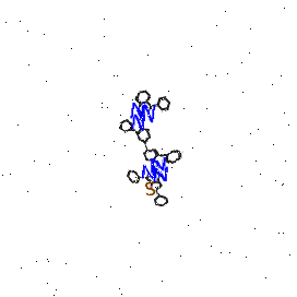 c1ccc(-c2cc3nc(-n4c5ccccc5c5cc(-c6ccc7c(c6)c6ccccc6n7-c6nc(-c7ccccc7)c7ccccc7n6)ccc54)nc(-c4ccccc4)c3s2)cc1